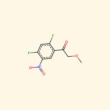 COCC(=O)c1cc([N+](=O)[O-])c(F)cc1F